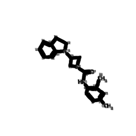 Cc1ccc(NC(=O)N2CC(N3CCc4ccccc43)C2)c(C)c1